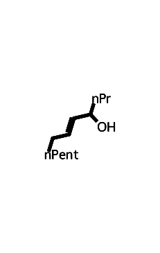 CCCCCCC=CC(O)CCC